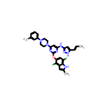 C/C=C/c1cc(Nc2cc(N3CCN(c4cccc(C(F)(F)F)c4)CC3)nc(Oc3cc(F)c4[nH]c(C)cc4c3F)n2)n[nH]1